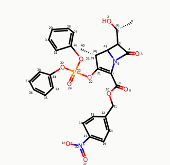 C[C@@H](O)C1C(=O)N2C(C(=O)OCc3ccc([N+](=O)[O-])cc3)=C(OP(=O)(Oc3ccccc3)Oc3ccccc3)[C@H](C)C12